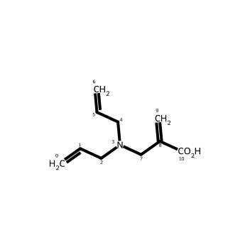 C=CCN(CC=C)CC(=C)C(=O)O